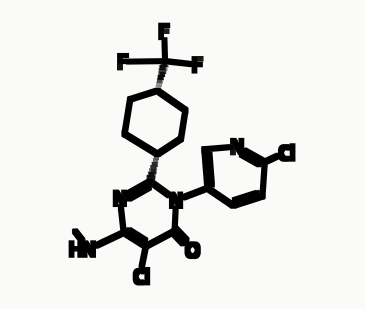 CNc1nc([C@H]2CC[C@@H](C(F)(F)F)CC2)n(-c2ccc(Cl)nc2)c(=O)c1Cl